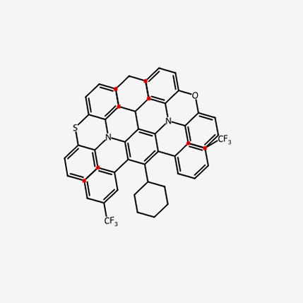 FC(F)(F)c1cccc(-c2c(C3CCCCC3)c(-c3cccc(C(F)(F)F)c3)c(N3c4ccccc4Sc4ccccc43)c(C3CCCCC3)c2N2c3ccccc3Oc3ccccc32)c1